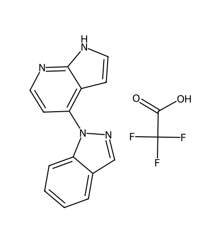 O=C(O)C(F)(F)F.c1ccc2c(c1)cnn2-c1ccnc2[nH]ccc12